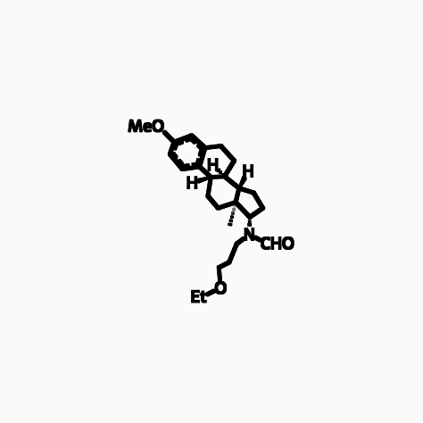 CCOCCCN(C=O)[C@H]1CC[C@H]2[C@@H]3CCc4cc(OC)ccc4[C@H]3CC[C@]12C